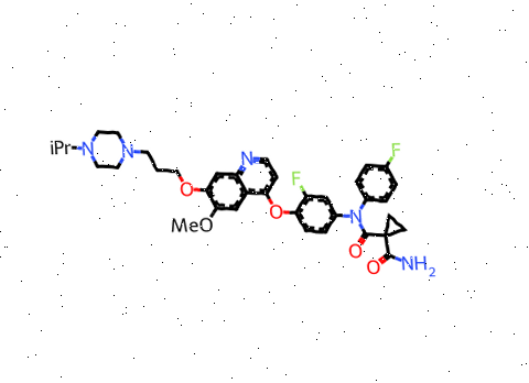 COc1cc2c(Oc3ccc(N(C(=O)C4(C(N)=O)CC4)c4ccc(F)cc4)cc3F)ccnc2cc1OCCCN1CCN(C(C)C)CC1